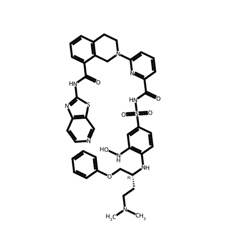 CN(C)CC[C@H](COc1ccccc1)Nc1ccc(S(=O)(=O)NC(=O)c2cccc(N3CCc4cccc(C(=O)Nc5nc6ccncc6s5)c4C3)n2)cc1NO